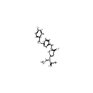 CCN(C(=O)S)[C@@H]1CC(=O)N(Cc2ccc(Oc3ccc(F)cc3)nc2)C1